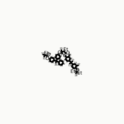 CCC(C(=O)Oc1ccc(C(C)(C)c2ccc(OC(C)(CC)CC)c(C)c2)cc1C)C(C)(C)Oc1ccc(C(C)(c2ccccc2)c2ccc(OC(=O)C(C)(C)CC)cc2)cc1